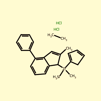 CC.CC1=Cc2c(-c3ccccc3)cccc2[CH]1[Zr]([CH3])([SiH3])[C]1=CC=CC1.Cl.Cl